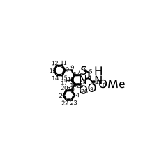 CONC(=O)C1CSc2c(Cc3ccccc3)c(C)c(-c3ccccc3)c(=O)n21